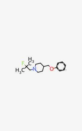 CC(C)(F)CN1CCC(COc2c[c]ccc2)CC1